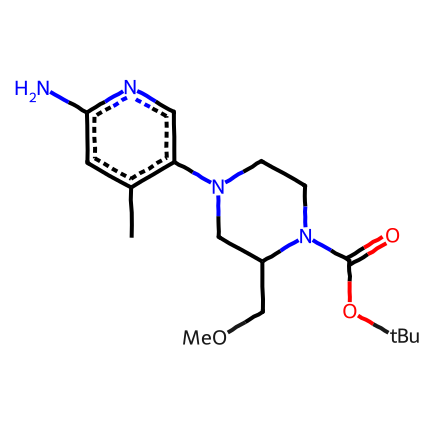 COCC1CN(c2cnc(N)cc2C)CCN1C(=O)OC(C)(C)C